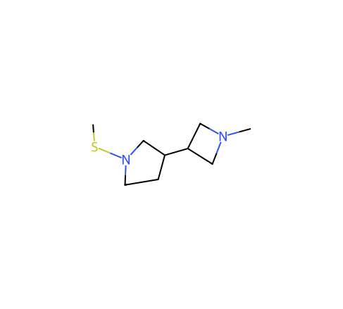 CSN1CCC(C2CN(C)C2)C1